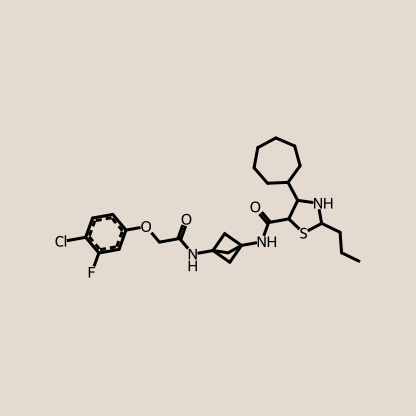 CCCC1NC(C2CCCCCC2)C(C(=O)NC23CC(NC(=O)COc4ccc(Cl)c(F)c4)(C2)C3)S1